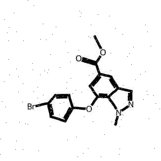 COC(=O)c1cc(Oc2ccc(Br)cc2)c2c(cnn2C)c1